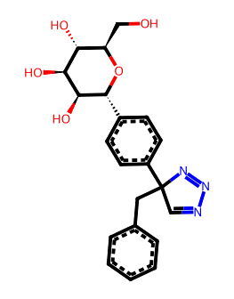 OC[C@H]1O[C@H](c2ccc(C3(Cc4ccccc4)C=NN=N3)cc2)[C@@H](O)[C@@H](O)[C@@H]1O